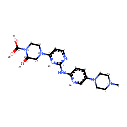 CN1CCN(c2ccc(Nc3nccc(N4CCN(C(=O)O)C(=O)C4)n3)nc2)CC1